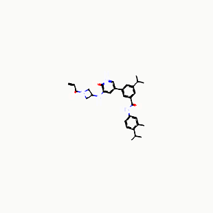 C=CC(=O)N1CC(Nc2cc(-c3cc(C(=O)Nc4ccc(C(C)C)c(C)c4)cc(C(C)C)c3)c[nH]c2=O)C1